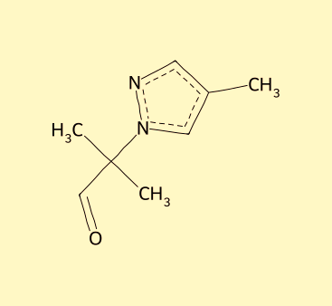 Cc1cnn(C(C)(C)C=O)c1